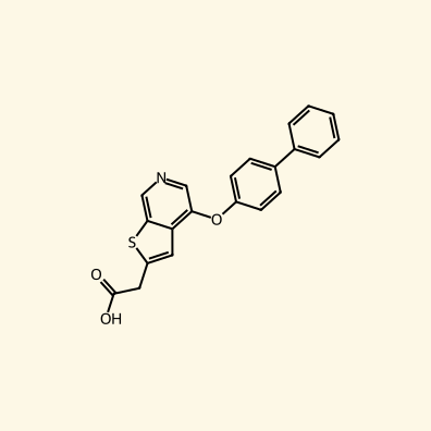 O=C(O)Cc1cc2c(Oc3ccc(-c4ccccc4)cc3)cncc2s1